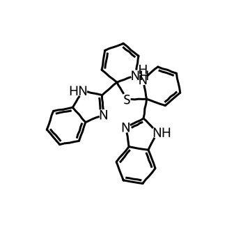 C1=CNC(SC2(c3nc4ccccc4[nH]3)C=CC=CN2)(c2nc3ccccc3[nH]2)C=C1